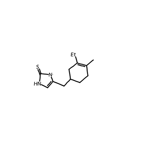 CCC1=C(C)CCC(CC2=CNC(=S)[N]2)C1